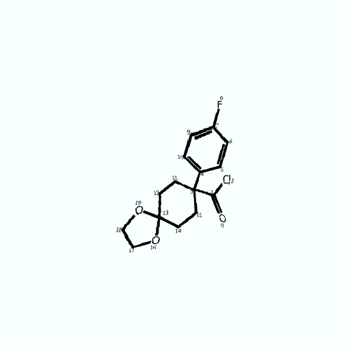 O=C(Cl)C1(c2ccc(F)cc2)CCC2(CC1)OCCO2